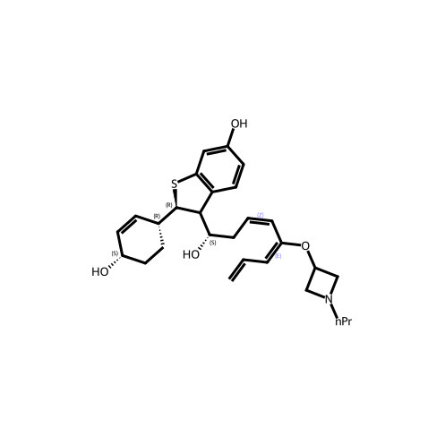 C=C/C=C(\C=C/C[C@H](O)C1c2ccc(O)cc2S[C@@H]1[C@H]1C=C[C@@H](O)CC1)OC1CN(CCC)C1